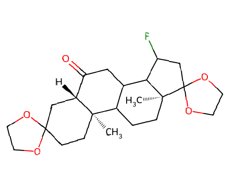 C[C@]12CCC3C(CC(=O)[C@H]4CC5(CC[C@]34C)OCCO5)C1C(F)CC21OCCO1